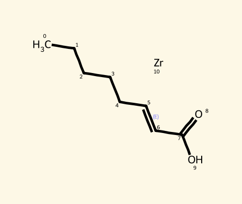 CCCCC/C=C/C(=O)O.[Zr]